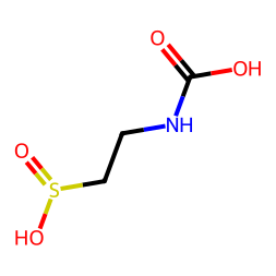 O=C(O)NCCS(=O)O